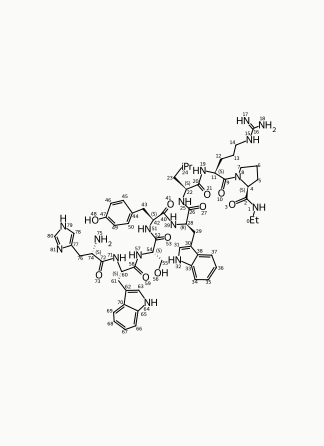 CCNC(=O)[C@@H]1CCCN1C(=O)[C@H](CCCNC(=N)N)NC(=O)[C@H](CC(C)C)NC(=O)[C@@H](Cc1c[nH]c2ccccc12)NC(=O)[C@H](Cc1ccc(O)cc1)NC(=O)[C@H](CO)NC(=O)[C@H](Cc1c[nH]c2ccccc12)NC(=O)[C@@H](N)Cc1c[nH]cn1